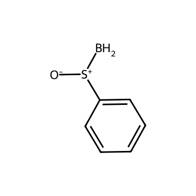 B[S+]([O-])c1ccccc1